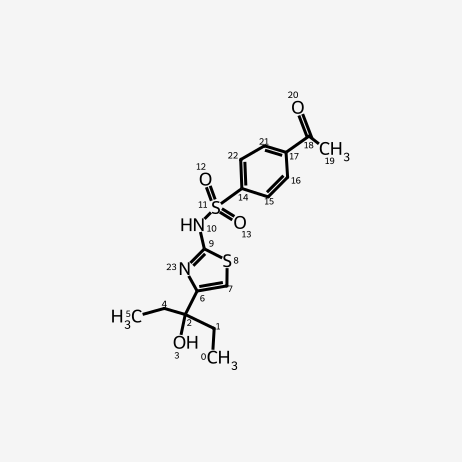 CCC(O)(CC)c1csc(NS(=O)(=O)c2ccc(C(C)=O)cc2)n1